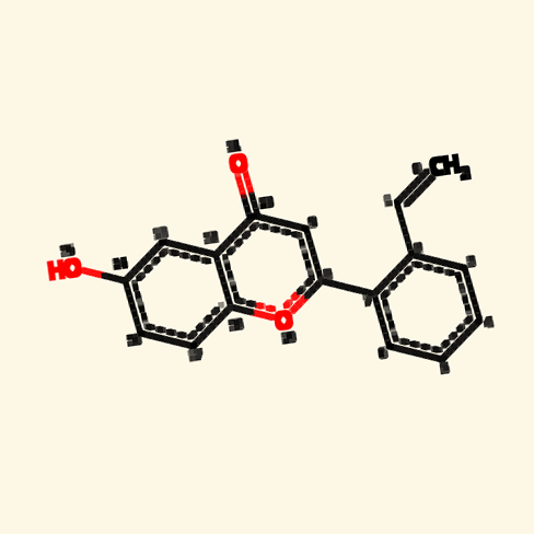 C=Cc1ccccc1-c1cc(=O)c2cc(O)ccc2o1